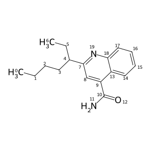 CCCCC(CC)c1cc(C(N)=O)c2ccccc2n1